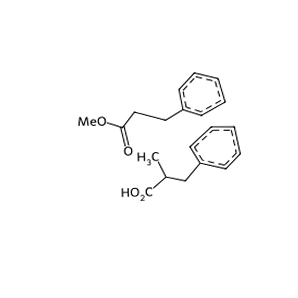 CC(Cc1ccccc1)C(=O)O.COC(=O)CCc1ccccc1